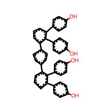 Oc1ccc(-c2cccc(-c3ccc(-c4cccc(-c5ccc(O)cc5)c4-c4ccc(O)cc4)cc3)c2-c2ccc(O)cc2)cc1